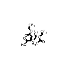 C=CCl.C=COC(=O)/C=C\C(=O)O.C=COC(C)=O